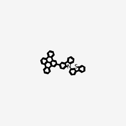 c1ccc2c(c1)sc1c(-n3c4ccccc4c4cc(-c5cc6c7ccccc7c7cccc8c9ccccc9c(c5)c6c78)ccc43)cccc12